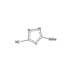 CNc1nnc(C#N)o1